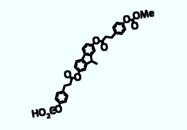 COC(=O)Oc1ccc(CCC(=O)Oc2ccc3c(c2)C(C)c2cc(OC(=O)CCc4ccc(OC(=O)O)cc4)ccc2-3)cc1